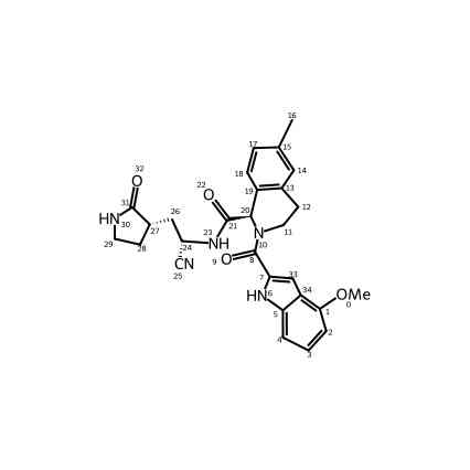 COc1cccc2[nH]c(C(=O)N3CCc4cc(C)ccc4[C@@H]3C(=O)N[C@H](C#N)C[C@@H]3CCNC3=O)cc12